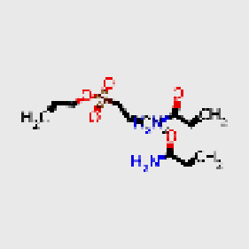 C=CC(N)=O.C=CC(N)=O.C=CCOS(=O)(=O)CC=C